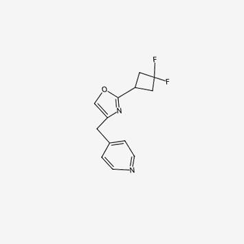 FC1(F)CC(c2nc(Cc3ccncc3)co2)C1